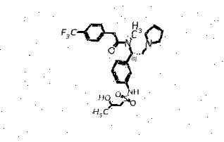 CC(O)CS(=O)(=O)Nc1cccc([C@@H](CN2CCCC2)N(C)C(=O)Cc2ccc(C(F)(F)F)cc2)c1